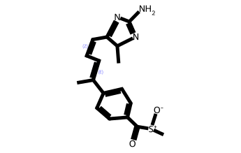 C/C(=C\C=C/C1=NC(N)=NC1C)c1ccc(C(=O)[S+](C)[O-])cc1